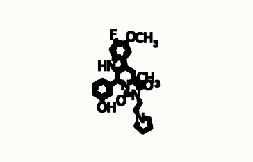 COc1cc2c3c([nH]c2cc1F)C(c1cccc(O)c1)N1C(=O)N(CCN2CCCC2)C(=O)C1(C)C3